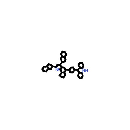 C1=CC2=C(c3ccc(-c4cc5c(-c6ccc7ccccc7c6)cc(-c6ccc7ccccc7c6)nc5c5ccccc45)cc3)c3ccccc3NC2C=C1